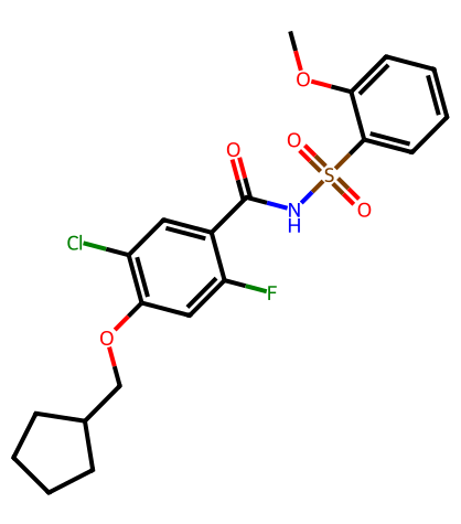 COc1ccccc1S(=O)(=O)NC(=O)c1cc(Cl)c(OCC2CCCC2)cc1F